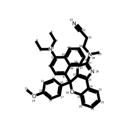 CCN(CC)c1ccc(C2(c3ccc(OC)cc3)Oc3ccccc3-c3nc(N(C)CCC#N)sc32)c2ccccc12